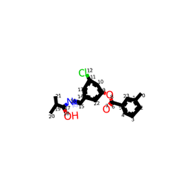 Cc1cccc(C(=O)Oc2cc(Cl)cc(/C=N/C(O)C(C)C)c2)c1